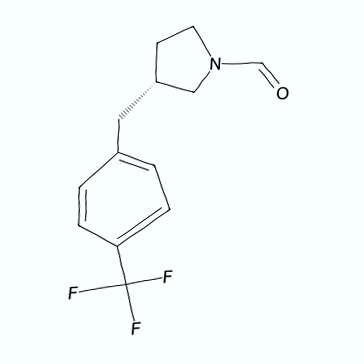 O=CN1CC[C@@H](Cc2ccc(C(F)(F)F)cc2)C1